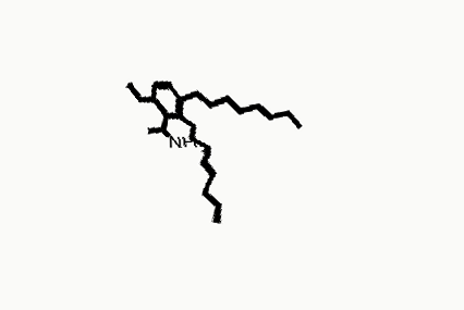 C=Cc1ccc(CCCCCCCC)c(CCCCCCCC)c1C(C)N